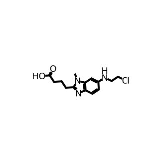 Cn1c(CCCC(=O)O)nc2ccc(NCCCl)cc21